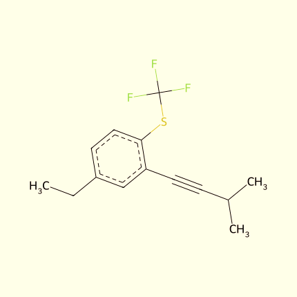 CCc1ccc(SC(F)(F)F)c(C#CC(C)C)c1